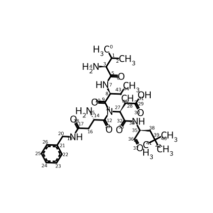 CC(C)[C@H](N)C(=O)N[C@H](C(=O)N(C(=O)[C@@H](N)CC(=O)NCc1ccccc1)[C@@H](CC(=O)O)C(=O)N[C@H]([C]=O)CC(C)(C)C)C(C)C